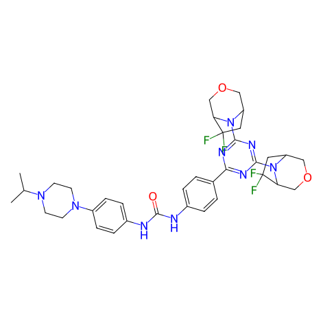 CC(C)N1CCN(c2ccc(NC(=O)Nc3ccc(-c4nc(N5C6COCC5C(F)(F)C6)nc(N5C6COCC5C(F)(F)C6)n4)cc3)cc2)CC1